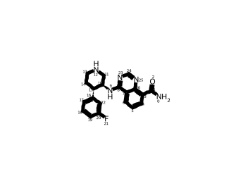 NC(=O)c1cccc2c(N[C@@H]3CNCC[C@H]3c3cccc(F)c3)ncnc12